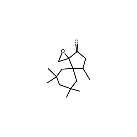 CC1CC(=O)C2(CO2)C12CC(C)(C)CC(C)(C)C2